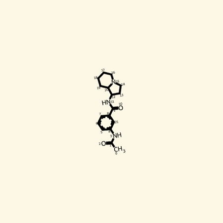 CC(=O)Nc1cccc(C(=O)NC2CCN3CCCCC23)c1